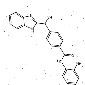 Nc1ccccc1NC(=O)c1ccc(C(S)c2nc3ccccc3[nH]2)cc1